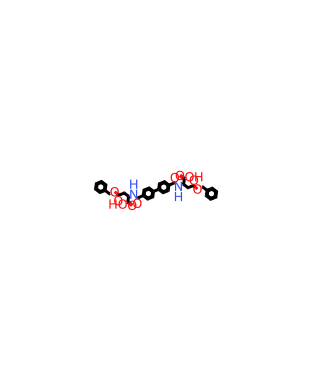 O=C(CC(NC(=O)c1ccc(-c2ccc(C(=O)NC(CC(=O)OCc3ccccc3)C(=O)O)cc2)cc1)C(=O)O)OCc1ccccc1